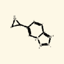 c1cc2nnnn2cc1C1CO1